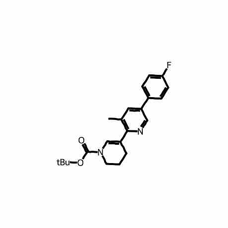 Cc1cc(-c2ccc(F)cc2)cnc1C1=CN(C(=O)OC(C)(C)C)CCC1